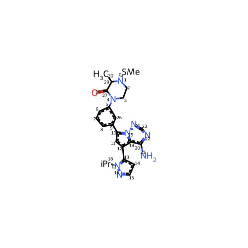 CSN1CCN(c2cccc(-c3cc(-c4ccnn4C(C)C)c4c(N)ncnn34)c2)C(=O)C1C